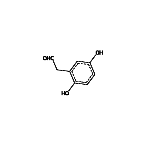 O=CCc1cc(O)ccc1O